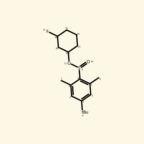 Cc1cc(C(C)(C)C)cc(C)c1S(=O)OC1CCCC(F)C1